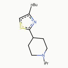 CCCCc1csc(C2CCN(C(C)C)CC2)n1